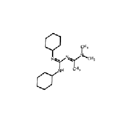 C/C(=N\C(=N/C1CCCCC1)NC1CCCCC1)N(C)C